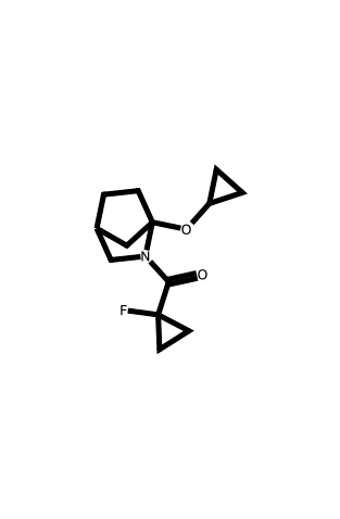 O=C(N1CC2CCC1(OC1CC1)C2)C1(F)CC1